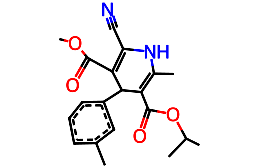 COC(=O)C1=C(C#N)NC(C)=C(C(=O)OC(C)C)C1c1cccc(C)c1